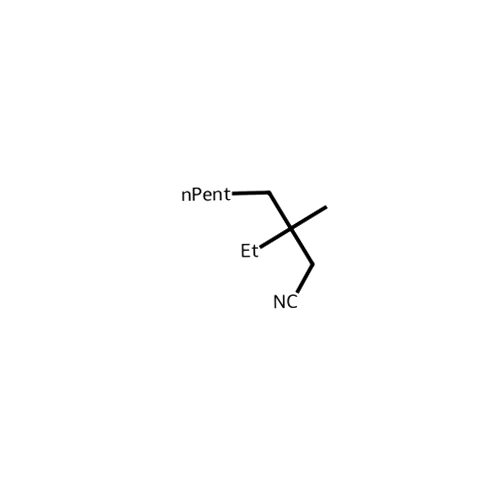 CCCCCCC(C)(CC)CC#N